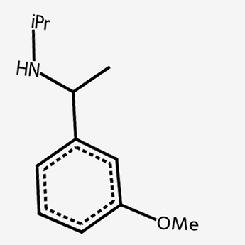 COc1cccc(C(C)NC(C)C)c1